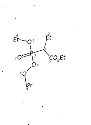 CCOC(=O)C(CC)P(=O)(OCC)OOC(C)C